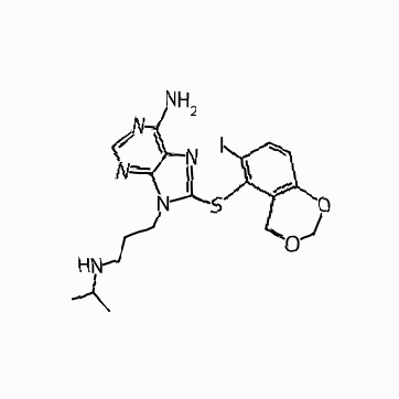 CC(C)NCCCn1c(Sc2c(I)ccc3c2COCO3)nc2c(N)ncnc21